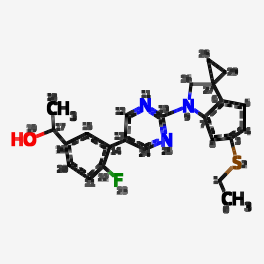 CCSc1ccc2c(c1)N(c1ncc(-c3cc(C(C)O)ccc3F)cn1)CC21CC1